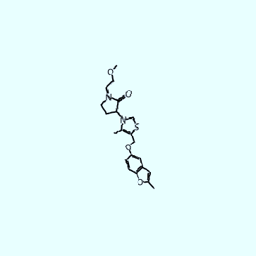 COCCN1CCC(N2CSC(COc3ccc4oc(C)cc4c3)=C2C)C1=O